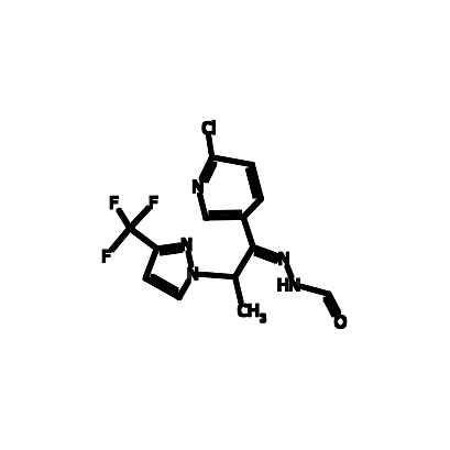 CC(C(=NNC=O)c1ccc(Cl)nc1)n1ccc(C(F)(F)F)n1